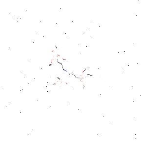 C=C[Si](OC)(OC)OC.CCO[Si](CCCNCCC[Si](OCC)(OCC)OCC)(OCC)OCC